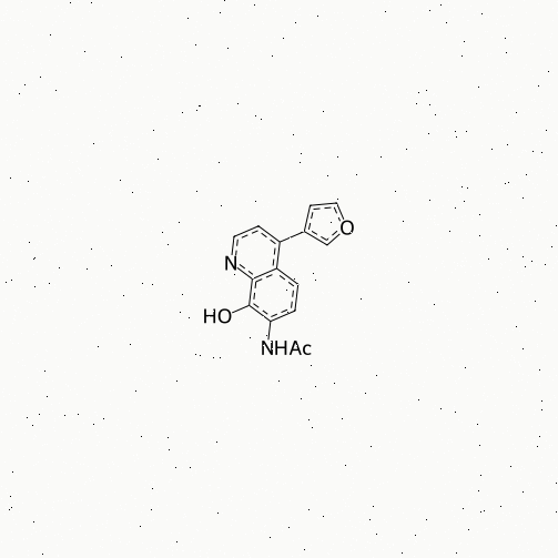 CC(=O)Nc1ccc2c(-c3ccoc3)ccnc2c1O